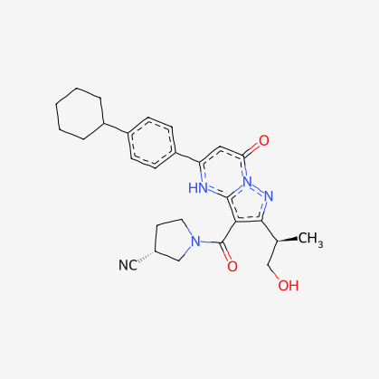 C[C@@H](CO)c1nn2c(=O)cc(-c3ccc(C4CCCCC4)cc3)[nH]c2c1C(=O)N1CC[C@@H](C#N)C1